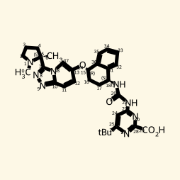 CN1CCC[C@@]1(C)c1nnc2ccc(O[C@@H]3CC[C@H](NC(=O)Nc4cc(C(C)(C)C)nc(C(=O)O)n4)c4ccccc43)cn12